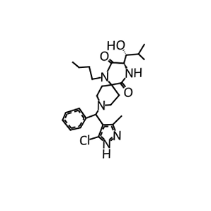 CCCCN1C(=O)[C@@H]([C@H](O)C(C)C)NC(=O)C12CCN(C(c1ccccc1)c1c(C)n[nH]c1Cl)CC2